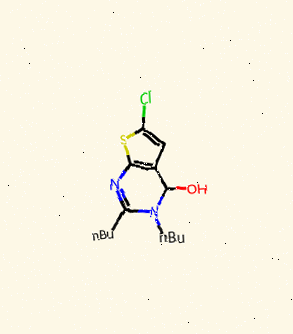 CCCCC1=Nc2sc(Cl)cc2C(O)N1CCCC